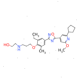 CCc1cc(-c2noc(-c3cc(OC)nc(C4CCCC4)c3)n2)cc(C)c1OCCCNCCO